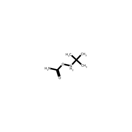 CC(C)(C)[SiH2]OC(N)=O